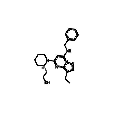 CCc1cnn2c(NCc3ccccc3)cc(N3CCCC[C@H]3CCO)nc12